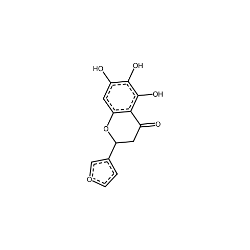 O=C1CC(c2ccoc2)Oc2cc(O)c(O)c(O)c21